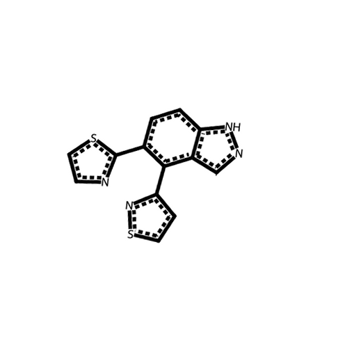 [c]1n[nH]c2ccc(-c3nccs3)c(-c3ccsn3)c12